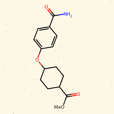 COC(=O)C1CCC(Oc2ccc(C(N)=O)cc2)CC1